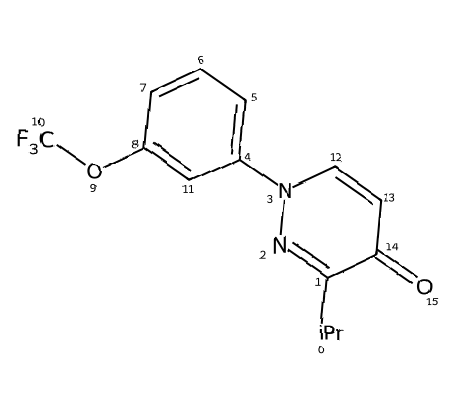 CC(C)c1nn(-c2cccc(OC(F)(F)F)c2)ccc1=O